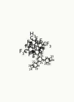 Cc1c(F)c(F)c([B-](c2c(F)c(F)c(-c3cc(-c4ccc5c(c4)CC5)cc(-c4ccc5c(c4)CC5)c3)c(F)c2F)(c2c(F)c(F)c(C(F)(F)F)c(F)c2F)c2c(F)c(F)c(C(F)(F)F)c(F)c2F)c(F)c1F